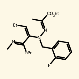 CC/C=C(\C(CCC)=N\C)N(Cc1ccccc1F)/N=C(\C)C(=O)OCC